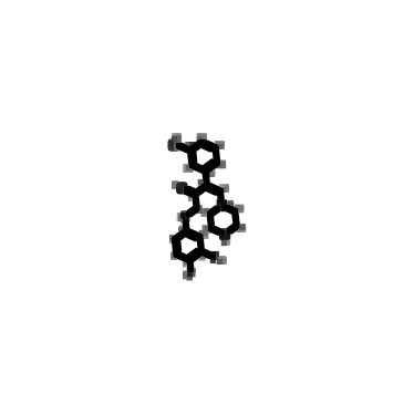 O=C(CSc1ccc(F)c(F)c1)C(=CN1CCOCC1)c1cccc(Cl)c1